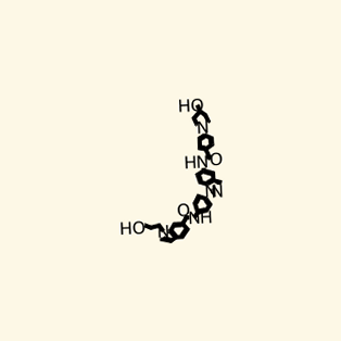 O=C(Nc1ccc2c(cnn2-c2ccc(NC(=O)c3ccc4ccn(CCCO)c4c3)cc2)c1)c1ccc(N2CCC(O)CC2)cc1